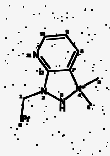 CC(C)CN1N[N+](C)(C)c2cccnc21